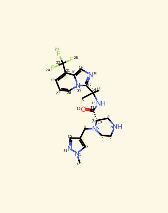 Cn1cc(CN2CCNC[C@H]2C(=O)NC(C)(C)c2ncc3c(C(F)(F)F)cccn23)cn1